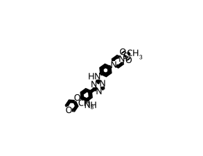 CC1(OC2CCOCC2)C=CC(c2ncnc(Nc3ccc(N4CCN(S(C)(=O)=O)CC4)cc3)n2)=CC1=N